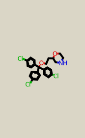 Clc1ccc(C(OCCC2CNCCO2)(c2ccc(Cl)cc2)c2ccc(Cl)cc2)cc1